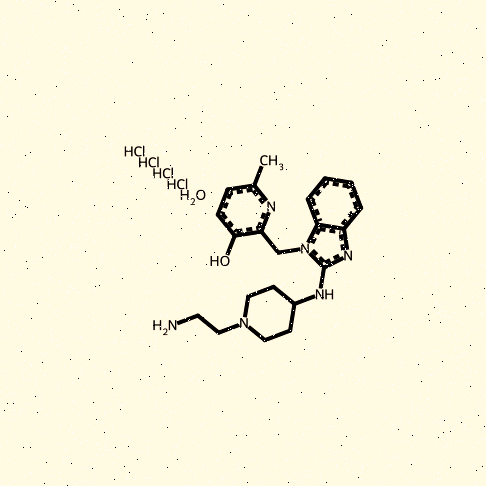 Cc1ccc(O)c(Cn2c(NC3CCN(CCN)CC3)nc3ccccc32)n1.Cl.Cl.Cl.Cl.O